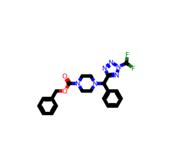 O=C(OCc1ccccc1)N1CCN(C(c2ccccc2)c2nnn(C(F)F)n2)CC1